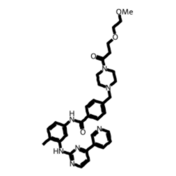 COCCOCCC(=O)N1CCN(Cc2ccc(C(=O)Nc3ccc(C)c(Nc4nccc(-c5cccnc5)n4)c3)cc2)CC1